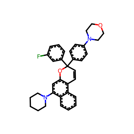 Fc1cccc(C2(c3ccc(N4CCOCC4)cc3)C=Cc3c(cc(N4CCCCC4)c4ccccc34)O2)c1